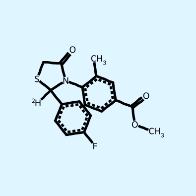 [2H]C1(c2ccc(F)cc2)SCC(=O)N1c1ccc(C(=O)OC)cc1C